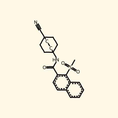 CS(=O)(=O)c1c(C(=O)NC23CCC(C#N)(CC2)CC3)ccc2ccccc12